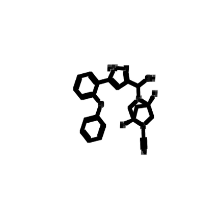 N#CN1C[C@@H]2C[C@H]1CN2C(O)c1cc(-c2ccccc2Oc2ccccc2)[nH]n1